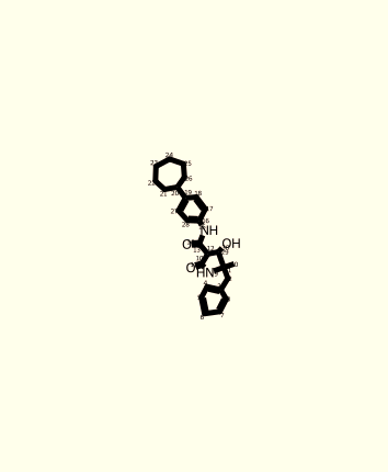 CC1(Cc2ccccc2)NC(=O)C(C(=O)Nc2ccc(C3CCCCCC3)cc2)C1O